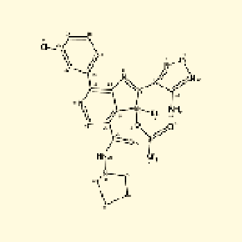 CC[N+]1(OC(=O)C(F)(F)F)C(c2nonc2N)=Nc2c(-c3cccc(Cl)c3)ncc(C(=O)NN3CCCC3)c21